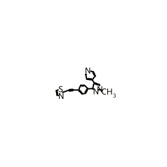 Cn1cc(-c2ccncc2)c(-c2ccc(C#Cc3nccs3)cc2)n1